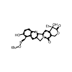 CC[C@@]1(O)C(=O)OCc2c1cc1n(c2=O)Cc2cc3c(C=NOC(C)(C)C)c(O)ccc3nc2-1